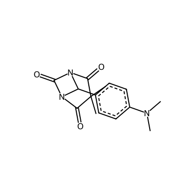 CN(C)c1ccc(C2N3C(=O)N2C(=O)C(C)(C)C3=O)cc1